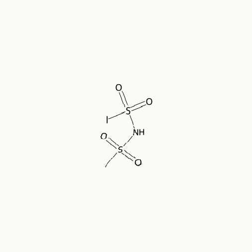 CS(=O)(=O)NS(=O)(=O)I